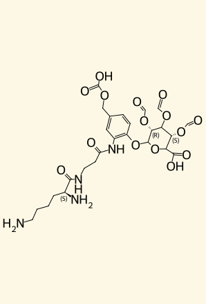 NCCCC[C@H](N)C(=O)NCCC(=O)Nc1cc(COC(=O)O)ccc1OC1OC(C(=O)O)[C@@H](OC=O)C(OC=O)[C@H]1OC=O